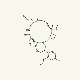 CCCC1=C(C2COc3ccc4nc3N(C2)CC2CCC2[C@@](C)(OC)/C=C/CC(C)C(CCOC)SNC4=O)C=CC(Cl)C1